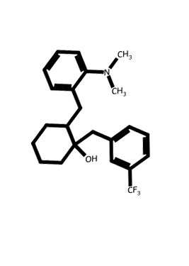 CN(C)c1ccccc1CC1CCCCC1(O)Cc1cccc(C(F)(F)F)c1